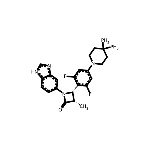 C[C@@H]1C(=O)N(c2ccc3[nH]cnc3c2)[C@@H]1c1c(F)cc(N2CCC(P)(P)CC2)cc1F